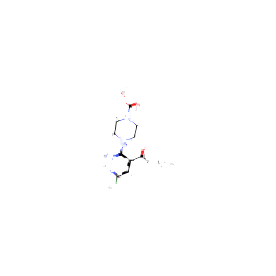 COC(=O)c1cc(Cl)nnc1N1CCN(C(=O)OC(C)(C)C)CC1